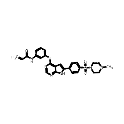 C=CC(=O)Nc1cccc(Oc2ncnc3[nH]c(-c4ccc(S(=O)(=O)N5CCN(C)CC5)cc4)cc23)c1